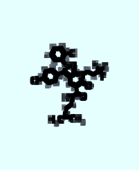 CN(C)CCNC(=O)c1cc2c(-c3ccc(Cl)cc3)n(-c3ccccc3Cl)nc2n(CCC(F)(F)F)c1=O